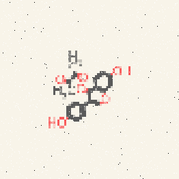 CC(=O)C(C)=O.O=c1c(-c2ccc(O)cc2)coc2cc(O)ccc12